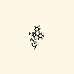 CN1CCN(C(=O)Nc2n[nH]c(-c3ccc(F)cc3)c2-c2ccncc2)CC1